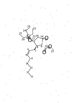 CCCCC/C=C\C[C@@H]1[C@@H](C(=O)OC)C(=O)C[C@@H]1O[Si](CC)(CC)CC